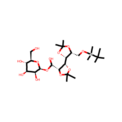 CC1(C)O[C@@H]([C@@H]2OC(C)(C)O[C@@H]2CO[Si](C)(C)C(C)(C)C)[C@@H](C(O)O[C@@H]2O[C@H](CO)[C@@H](O)[C@H](O)[C@@H]2O)O1